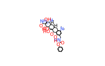 CN(C)c1cc(CNC(=O)Oc2ccccc2)c(O)c2c1C[C@H]1C[C@H]3[C@H](N(C)C)C(O)=C(C(N)=O)C(=O)[C@@]3(O)C(O)=C1C2=O